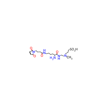 CN(CCCS(=O)(=O)O)CCNC(=O)C(N)CCCCNC(=O)CCCN1C(=O)C=CC1=O